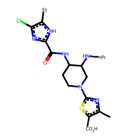 CCCNC1CN(c2nc(C)c(C(=O)O)s2)CCC1NC(=O)c1nc(Cl)c(CC)[nH]1